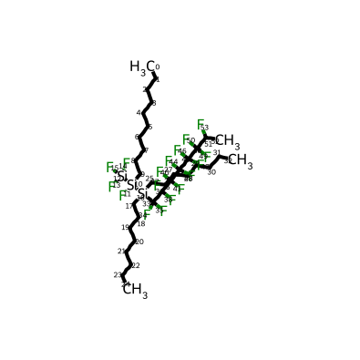 CCCCCCCCCC[Si](F)([Si](F)(F)F)[Si](CCCCCCCC)(CCCCCCCC)C(F)(F)C(F)(F)C(F)(F)C(F)(F)C(F)(F)C(F)(F)C(C)F